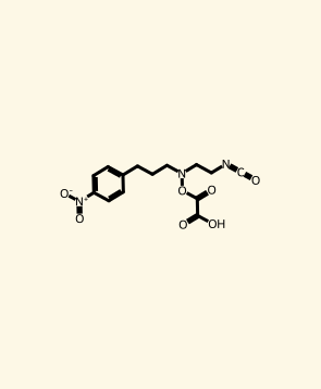 O=C=NCCN(CCCc1ccc([N+](=O)[O-])cc1)OC(=O)C(=O)O